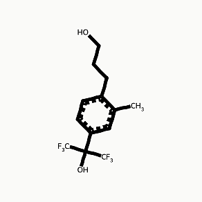 Cc1cc(C(O)(C(F)(F)F)C(F)(F)F)ccc1CCCO